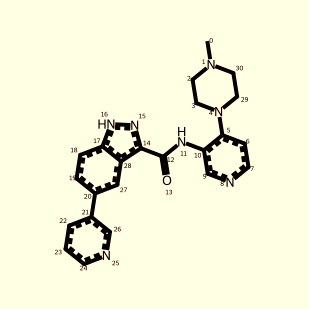 CN1CCN(c2ccncc2NC(=O)c2n[nH]c3ccc(-c4cccnc4)cc23)CC1